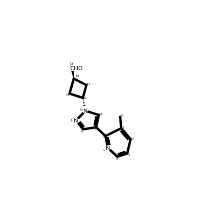 Cc1cccnc1-c1cnn([C@H]2C[C@H](C=O)C2)c1